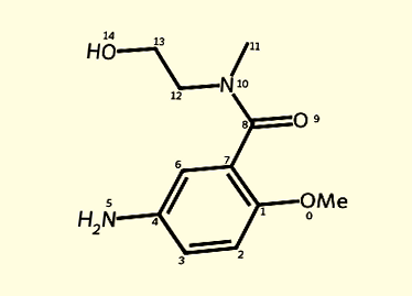 COc1ccc(N)cc1C(=O)N(C)CCO